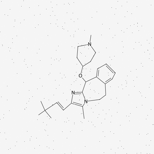 Cc1c(C=CC(C)(C)C)nc2n1CCc1ccccc1C2OC1CCN(C)CC1